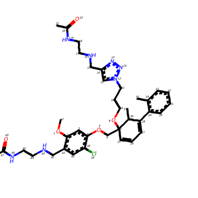 COc1cc(OCC2(OCCCn3cc(CNCCNC(C)=O)nn3)C=CC=C(c3ccccc3C)C2C)c(Cl)cc1CNCCNC(C)=O